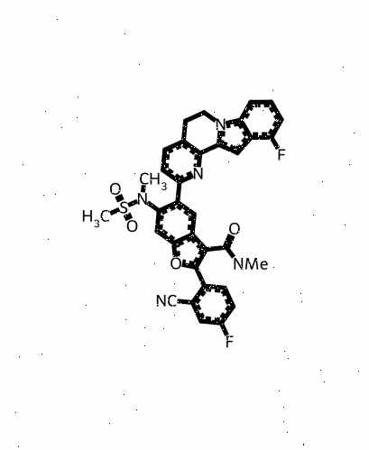 CNC(=O)c1c(-c2ccc(F)cc2C#N)oc2cc(N(C)S(C)(=O)=O)c(-c3ccc4c(n3)-c3cc5c(F)cccc5n3CC4)cc12